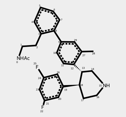 CC(=O)NCCc1ccccc1-c1ccc([C@@H]2CNCC[C@H]2c2cc(F)cc(F)c2)c(C)c1